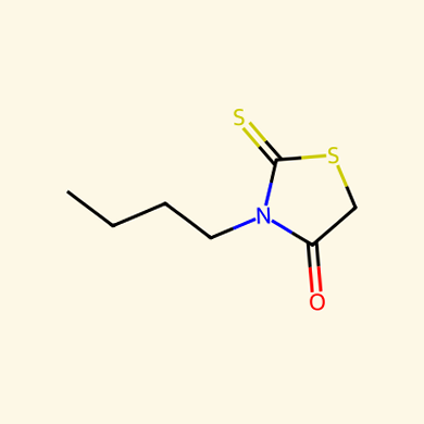 CCCCN1C(=O)CSC1=S